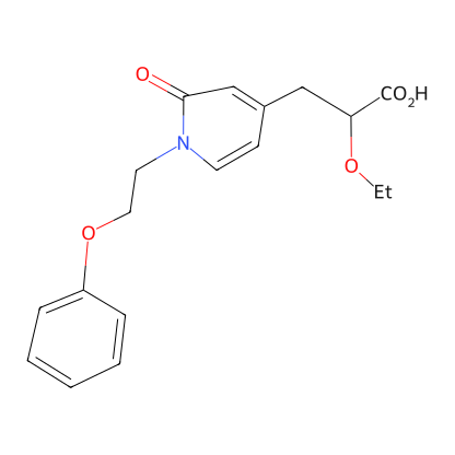 CCOC(Cc1ccn(CCOc2ccccc2)c(=O)c1)C(=O)O